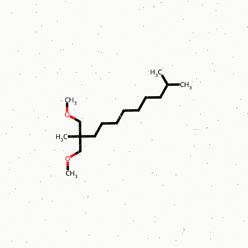 COCC(C)(CCCCCCCC(C)C)COC